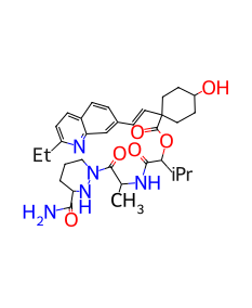 CCc1ccc2ccc(/C=C/C3(C(=O)OC(C(=O)NC(C)C(=O)N4CCCC(C(N)=O)N4)C(C)C)CCC(O)CC3)cc2n1